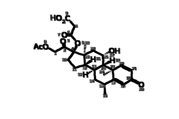 CC(=O)OCC(=O)[C@@]1(OC(=O)CC(=O)O)CC[C@H]2[C@@H]3C[C@H](C)C4=CC(=O)C=C[C@]4(C)[C@H]3[C@@H](O)C[C@@]21C